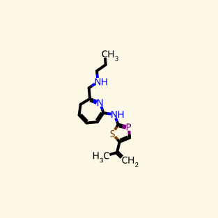 C=C(C)c1cpc(NC2=CC=CCC(CNCCC)=N2)s1